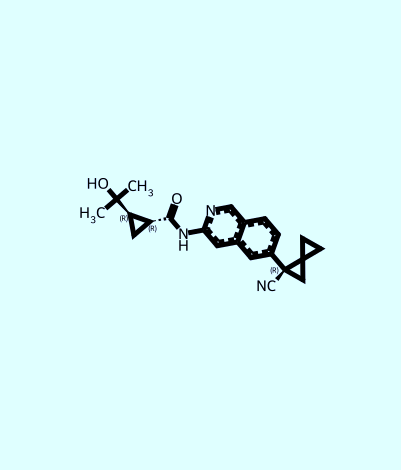 CC(C)(O)[C@@H]1C[C@H]1C(=O)Nc1cc2cc([C@@]3(C#N)CC34CC4)ccc2cn1